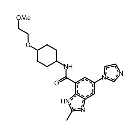 COCCOC1CCC(NC(=O)c2cc(-n3ccnc3)cc3nc(C)[nH]c23)CC1